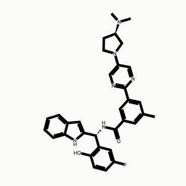 Cc1cc(C(=O)N[C@@H](c2cc3ccccc3[nH]2)c2cc(F)ccc2O)cc(-c2ncc(N3CC[C@@H](N(C)C)C3)cn2)c1